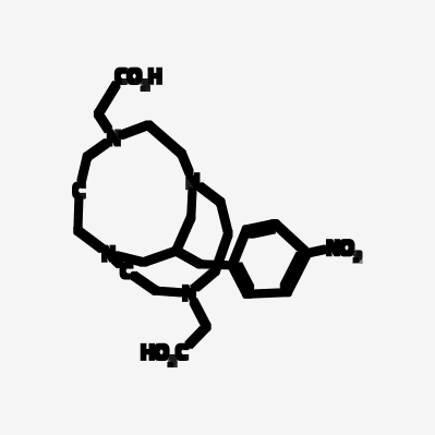 O=C(O)CN1CCCN2CCN(CC(=O)O)CCCN(CC1)CC(Cc1ccc([N+](=O)[O-])cc1)C2